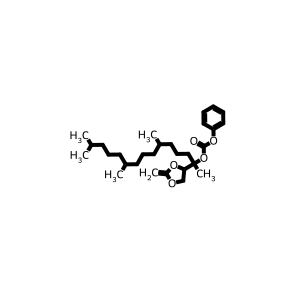 C=C1OCC(C(C)(CCCC(C)CCCC(C)CCCC(C)C)OC(=O)Oc2ccccc2)O1